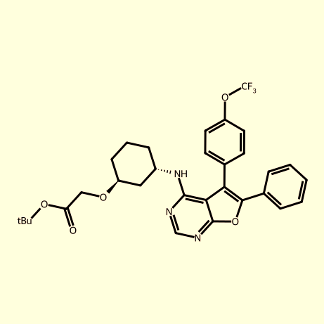 CC(C)(C)OC(=O)CO[C@H]1CCC[C@H](Nc2ncnc3oc(-c4ccccc4)c(-c4ccc(OC(F)(F)F)cc4)c23)C1